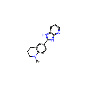 CCN1CCCc2cc(-c3nc4ncccc4[nH]3)ccc21